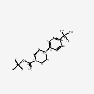 CC(C)(C)OC(=O)N1CCN(c2cnc(C(F)(F)F)nc2)CC1